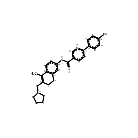 CC1=C(CN2CCCC2)CCc2cc(NC(=O)c3ccc(-c4ccc(F)cc4)nc3)ccc21